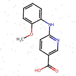 COc1ccccc1Nc1ccc(C(=O)O)cn1